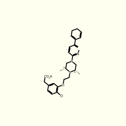 C=C(/C=C\C(=N/C)N1C[C@@H](C)N(CCOc2cc(CC(=O)O)ccc2Cl)[C@@H](C)C1)C1=CCCC=C1